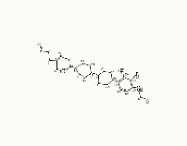 C=CCCC1CCC(C2CCC(C3CCC(c4ccc(OCC)c(F)c4F)CC3)CC2)OC1